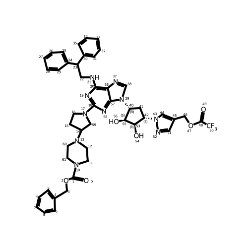 O=C(OCc1ccccc1)N1CCN(C2CCN(c3nc(NCC(c4ccccc4)c4ccccc4)c4ncn([C@@H]5C[C@H](n6cc(COC(=O)C(F)(F)F)cn6)[C@@H](O)[C@H]5O)c4n3)C2)CC1